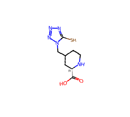 O=C(O)[C@@H]1CC(Cn2nnnc2S)CCN1